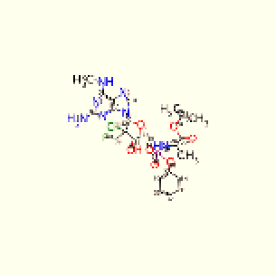 CNc1nc(N)nc2c1ncn2[C@@H]1O[C@H](CO[P@](=O)(N[C@H](C)C(=O)OC(C)C)Oc2ccccc2)[C@@H](O)[C@]1(Cl)CF